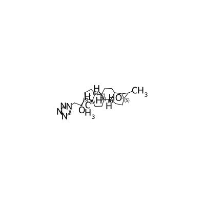 CC1C2C3CC[C@@H]4[C@H](CC[C@]5(C)[C@@H](C(=O)Cn6cnnn6)CC[C@@H]45)[C@H]3CC[C@]12O